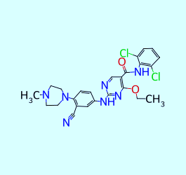 CCOc1nc(Nc2ccc(N3CCN(C)CC3)c(C#N)c2)ncc1C(=O)Nc1c(Cl)cccc1Cl